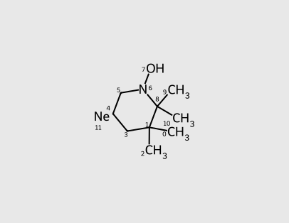 CC1(C)CCCN(O)C1(C)C.[Ne]